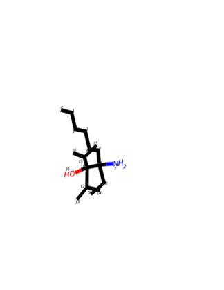 CCCCCCC(N)(CC)C(O)(C(C)C)C(C)C